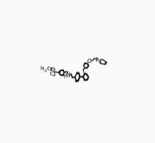 COC(=O)c1ccc(CNCCc2ccc(-c3ccccc3Cc3ccc(OCCN4CCCC4)cc3)cc2)cc1